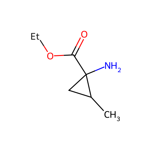 CCOC(=O)C1(N)CC1C